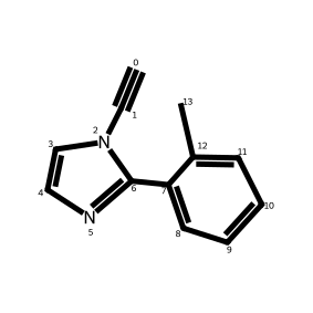 C#Cn1ccnc1-c1ccccc1C